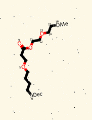 CCCCCCCCCCCCCCOCCC(=O)OCCOCCOC